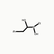 CCN(O)C(O)CC(C)C